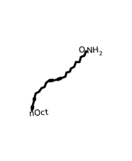 CCCCCCCCC#CC#CCCCCCC#CC#CCCCCCCCCCC(N)=O